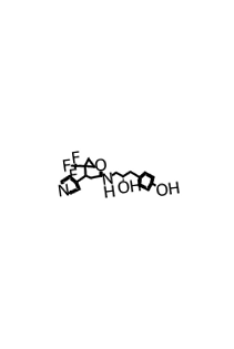 O=C(CC(c1ccncc1)C1(C(F)(F)F)CC1)NC[C@@H](O)Cc1ccc(O)cc1